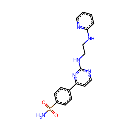 NS(=O)(=O)c1ccc(-c2ccnc(NCCNc3ccccn3)n2)cc1